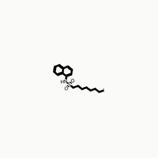 O=S(=O)(CCCCCCCI)Nc1cccc2ccccc12